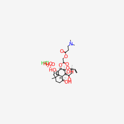 C=C[C@@]1(C)CC(=O)[C@]2(O)[C@@]3(C)[C@@H](O)CCC(C)(C)[C@@H]3[C@H](O)[C@H](OC(=O)COC(=O)CCN(C)C)[C@@]2(C)O1.Cl.O.O